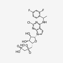 CC(Nc1nc(Cl)nc2c1ccn2[C@@H]1O[C@H](CS(=O)(=O)CP(=O)(O)O)[C@@H](O)[C@H]1O)c1ccc(F)cc1F